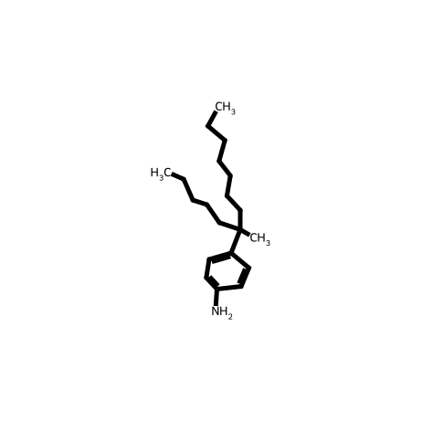 CCCCCCCC(C)(CCCCC)c1ccc(N)cc1